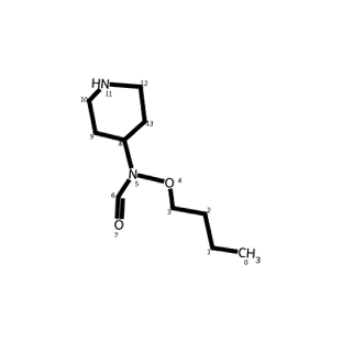 CCCCON(C=O)C1CCNCC1